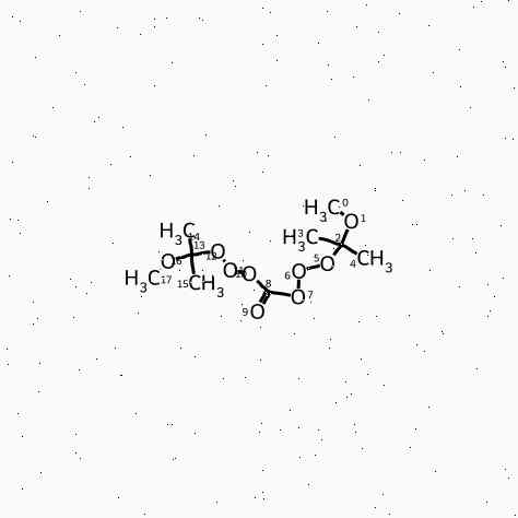 COC(C)(C)OOOC(=O)OOOC(C)(C)OC